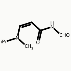 CC(C)N(C)/C=C\C(=O)NC=O